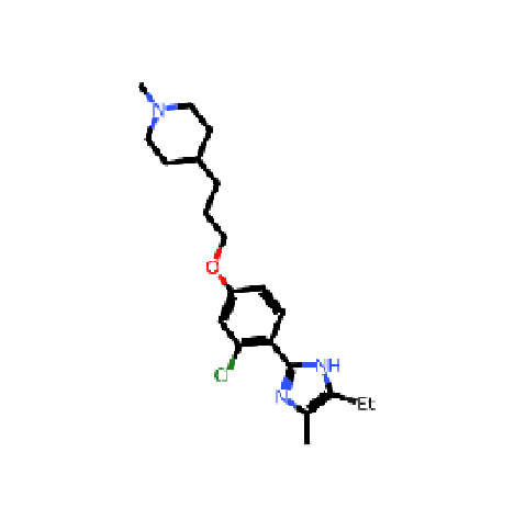 CCc1[nH]c(-c2ccc(OCCCC3CCN(C)CC3)cc2Cl)nc1C